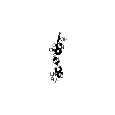 C[C@@H]1OCC2(CCN(c3cnc(Sc4ccc5ncn(CC(O)CF)c(=O)c5c4Cl)cn3)CC2)[C@@H]1N